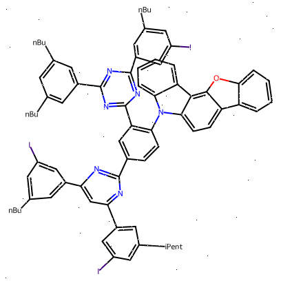 CCCCc1cc(I)cc(-c2cc(-c3cc(I)cc(C(C)CCC)c3)nc(-c3ccc(-n4c5ccccc5c5c6oc7ccccc7c6ccc54)c(-c4nc(-c5cc(I)cc(CCCC)c5)nc(-c5cc(CCCC)cc(CCCC)c5)n4)c3)n2)c1